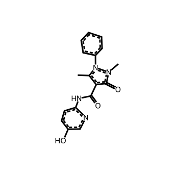 Cc1c(C(=O)Nc2ccc(O)cn2)c(=O)n(C)n1-c1ccccc1